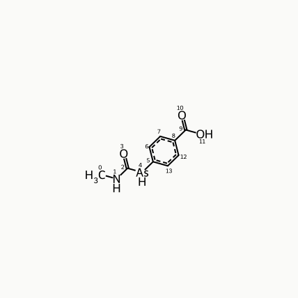 CNC(=O)[AsH]c1ccc(C(=O)O)cc1